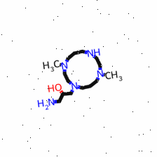 CN1CCCN(CC(O)CN)CCN(C)CCCNCC1